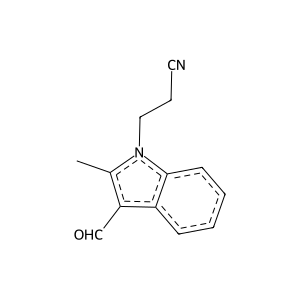 Cc1c(C=O)c2ccccc2n1CCC#N